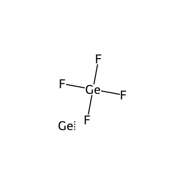 [F][Ge]([F])([F])[F].[Ge]